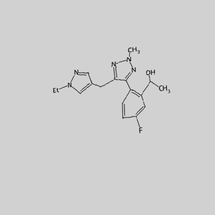 CCn1cc(Cc2nn(C)nc2-c2ccc(F)cc2C(C)O)cn1